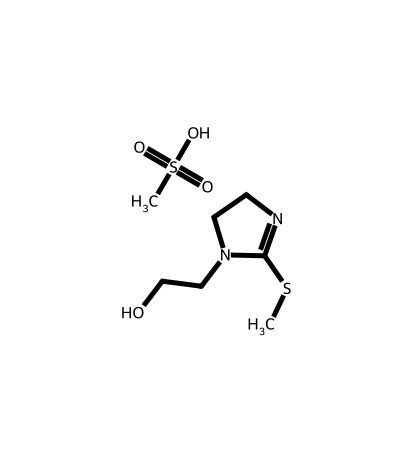 CS(=O)(=O)O.CSC1=NCCN1CCO